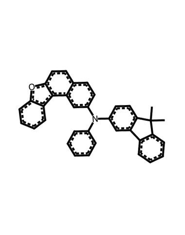 CC1(C)c2ccccc2-c2cc(N(c3ccccc3)c3ccc4ccc5oc6ccccc6c5c4c3)ccc21